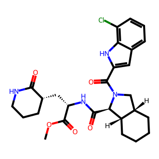 COC(=O)[C@H](C[C@@H]1CCCNC1=O)NC(=O)[C@@H]1[C@H]2CCCC[C@H]2CN1C(=O)c1cc2cccc(Cl)c2[nH]1